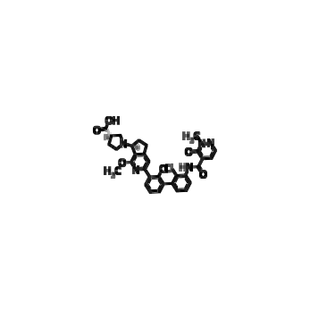 COc1nc(-c2cccc(-c3cccc(NC(=O)c4ccnn(C)c4=O)c3Cl)c2Cl)cc2c1[C@@H](N1CC[C@H](C(=O)O)C1)CC2